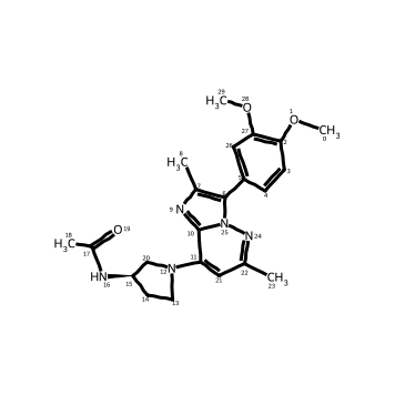 COc1ccc(-c2c(C)nc3c(N4CC[C@@H](NC(C)=O)C4)cc(C)nn23)cc1OC